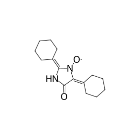 [O]n1c(=C2CCCCC2)[nH]c(=O)c1=C1CCCCC1